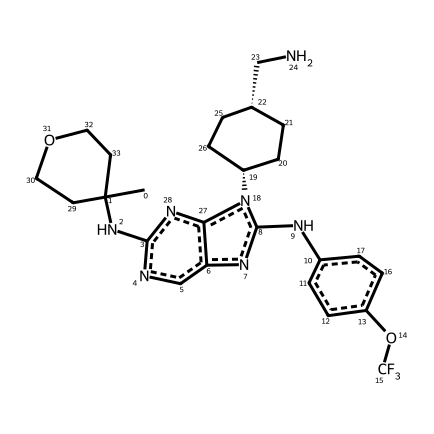 CC1(Nc2ncc3nc(Nc4ccc(OC(F)(F)F)cc4)n([C@H]4CC[C@@H](CN)CC4)c3n2)CCOCC1